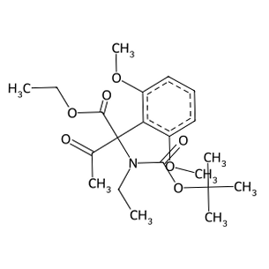 CCOC(=O)C(C(C)=O)(c1c(OC)cccc1OC)N(CC)C(=O)OC(C)(C)C